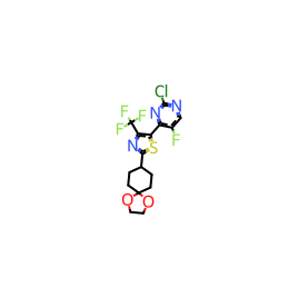 Fc1cnc(Cl)nc1-c1sc(C2CCC3(CC2)OCCO3)nc1C(F)(F)F